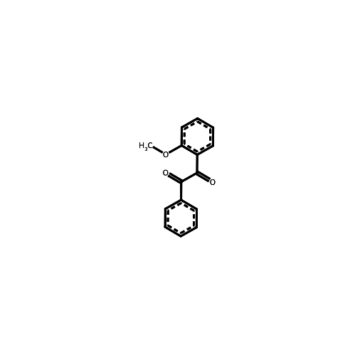 COc1ccccc1C(=O)C(=O)c1ccccc1